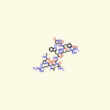 CCNC(=O)[C@@H]1CCCN1C(=O)[C@H](CCCNC(=N)N)NC(=O)[C@@H](CC(C)C)N(C(=O)CNC(=O)[C@@H](Cc1c[nH]c2ccccc12)NC(=O)[C@H](CCCNC(=N)N)NC(=O)[C@H](Cc1ccc(O)cc1)NC(=O)C1CCC(=O)N1)C(=O)C(C)(C)N